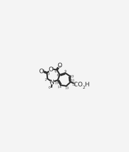 CN1CC(=O)OC(=O)C2=CC=C(C(=O)O)CC=C21